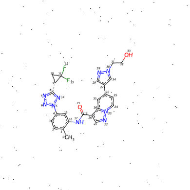 Cc1ccc(-n2nnc([C@@H]3CC3(F)F)n2)cc1NC(=O)c1cnn2ccc(-c3cnn(CCO)c3)cc12